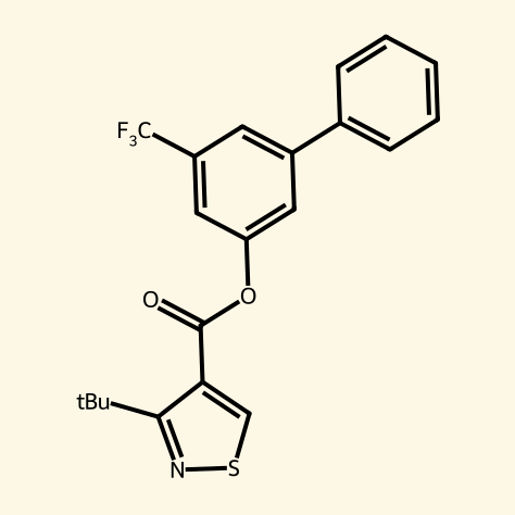 CC(C)(C)c1nscc1C(=O)Oc1cc(-c2ccccc2)cc(C(F)(F)F)c1